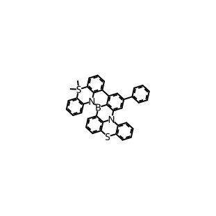 CS1(C)c2ccccc2N2B3c4cccc5c4N(c4ccccc4S5)c4cc(-c5ccccc5)cc(c43)-c3cccc1c32